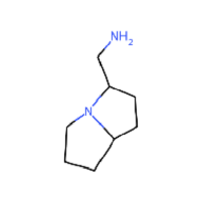 NCC1CCC2CCCN12